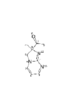 CC(=O)C1(C)CN2C=CC=NC2=N1